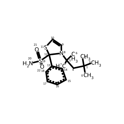 CC(C)(C)CC(C)(C)N1C=CSC1(c1ccccc1)S(N)(=O)=O